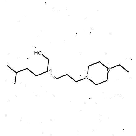 CCN1CCN(CCC[C@@H](CO)CCC(C)C)CC1